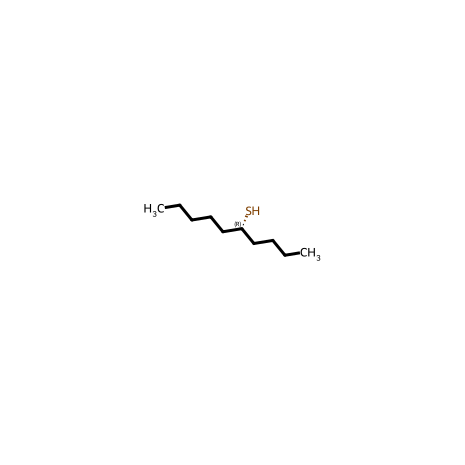 CCCCC[C@H](S)CCCC